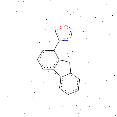 c1ccc2c(c1)Cc1c(-c3conn3)cccc1-2